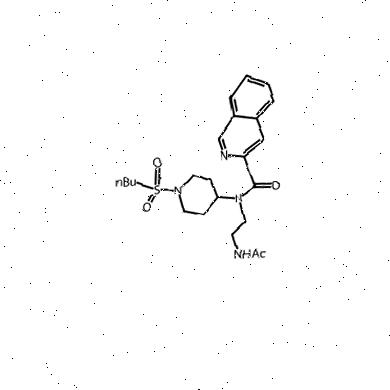 CCCCS(=O)(=O)N1CCC(N(CCNC(C)=O)C(=O)c2cc3ccccc3cn2)CC1